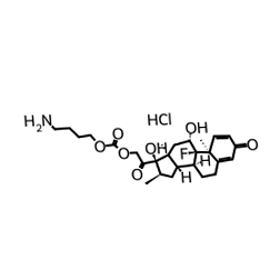 C[C@@H]1C[C@H]2[C@@H]3CCC4=CC(=O)C=C[C@]4(C)[C@@]3(F)[C@@H](O)C[C@]2(C)[C@@]1(O)C(=O)COC(=O)OCCCCN.Cl